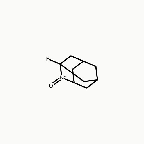 O=[N+]1C2CC3CC(C2)CC1(F)C3